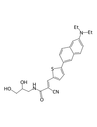 CCN(CC)c1ccc2cc(-c3ccc(/C=C(\C#N)C(=O)NCC(O)CO)s3)ccc2c1